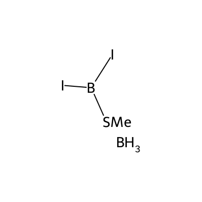 B.CSB(I)I